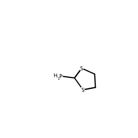 PC1SCCS1